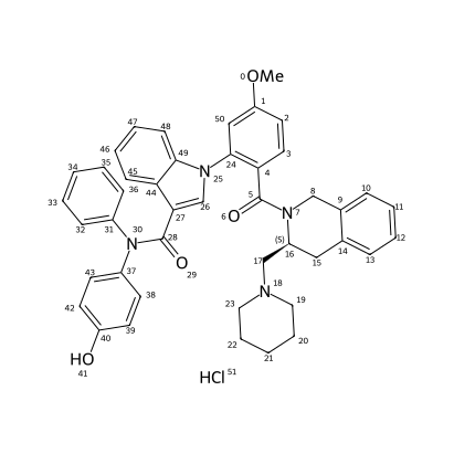 COc1ccc(C(=O)N2Cc3ccccc3C[C@H]2CN2CCCCC2)c(-n2cc(C(=O)N(c3ccccc3)c3ccc(O)cc3)c3ccccc32)c1.Cl